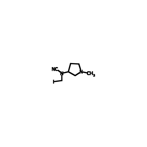 CN1CCC(N(C#N)CI)C1